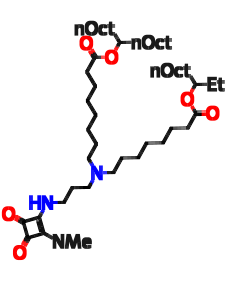 CCCCCCCCC(CC)OC(=O)CCCCCCCN(CCCCCCCC(=O)OC(CCCCCCCC)CCCCCCCC)CCCNc1c(NC)c(=O)c1=O